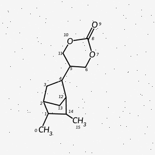 CC1C2CC(C3COC(=O)OC3)C(C2)C1C